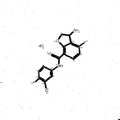 Cl.NC1COc2c(C(=O)Nc3ccc(F)c(Cl)c3)ccc(F)c21